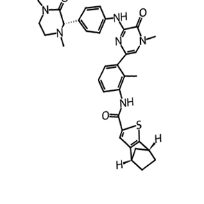 Cc1c(NC(=O)c2cc3c(s2)[C@@H]2CC[C@H]3C2)cccc1-c1cn(C)c(=O)c(Nc2ccc([C@H]3C(=O)N(C)CCN3C)cc2)n1